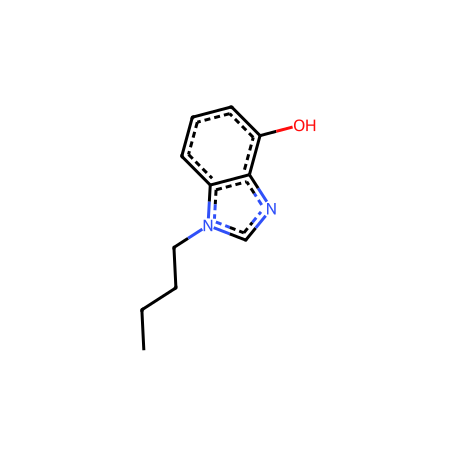 CCCCn1cnc2c(O)cccc21